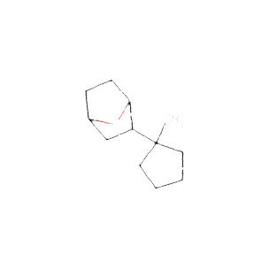 CC1(C2CC3CCC2O3)CCCC1